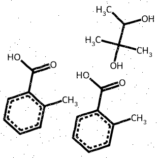 CC(O)C(C)(C)O.Cc1ccccc1C(=O)O.Cc1ccccc1C(=O)O